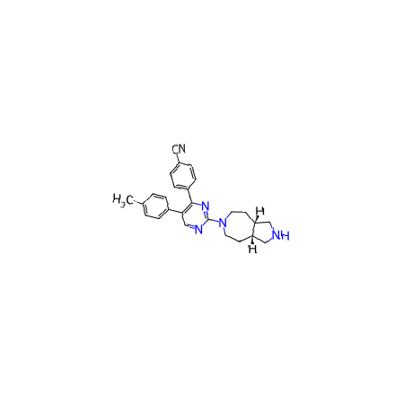 Cc1ccc(-c2cnc(N3CC[C@@H]4CNC[C@@H]4CC3)nc2-c2ccc(C#N)cc2)cc1